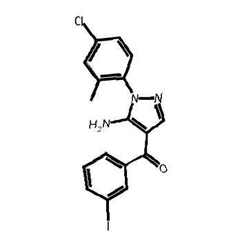 Cc1cc(Cl)ccc1-n1ncc(C(=O)c2cccc(I)c2)c1N